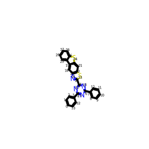 c1ccc(-c2nc(-c3ccccc3)nc(-c3nc4cc5c(cc4s3)sc3ccccc35)n2)cc1